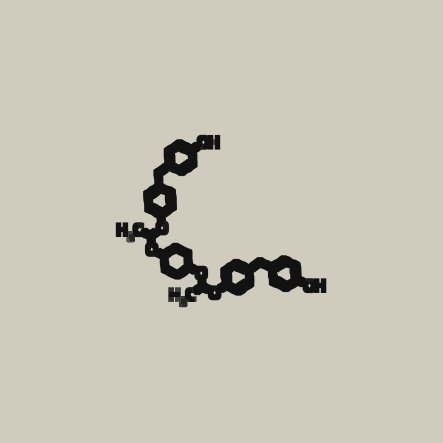 CC(Oc1ccc(Cc2ccc(O)cc2)cc1)OC1CCC(OC(C)Oc2ccc(Cc3ccc(O)cc3)cc2)CC1